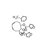 Cc1ccccc1[C@H]1C/C=C\C=C/C[C@H](C)C(OC(=O)c2ccoc2)C1OC(=O)c1ccoc1